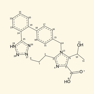 CCCc1nc(C(=O)O)c(C(C)O)n1Cc1ccc(-c2ccccc2-c2nnn[nH]2)cc1